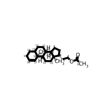 CC(=O)OCC[C@H]1CC[C@H]2[C@@H]3CCC4CCC=C[C@]4(C)[C@H]3CC[C@]12C